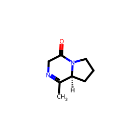 CC1=NCC(=O)N2CCC[C@@H]12